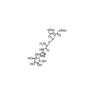 CCCCCCCCCCCC(=O)OC[C@H](CSC[C@@H](N)C(=O)Nc1cn(C2[C@H](O)[C@H](O)[C@@H](O)[C@H](O)[C@H]2O)nn1)OC(=O)CCCCCCCCCCC